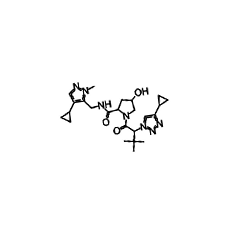 Cn1ncc(C2CC2)c1CNC(=O)C1CC(O)CN1C(=O)[C@@H](n1cc(C2CC2)nn1)C(C)(C)C